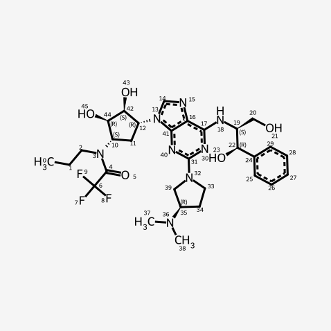 CCCN(C(=O)C(F)(F)F)[C@H]1C[C@@H](n2cnc3c(N[C@@H](CO)[C@H](O)c4ccccc4)nc(N4CC[C@@H](N(C)C)C4)nc32)[C@H](O)[C@@H]1O